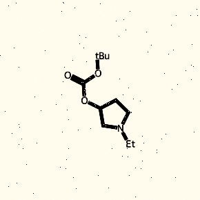 CCN1[CH]CC(OC(=O)OC(C)(C)C)C1